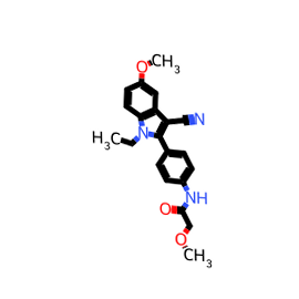 CCn1c(-c2ccc(NC(=O)COC)cc2)c(C#N)c2cc(OC)ccc21